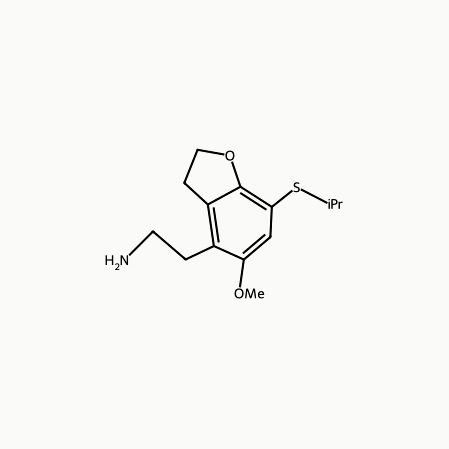 COc1cc(SC(C)C)c2c(c1CCN)CCO2